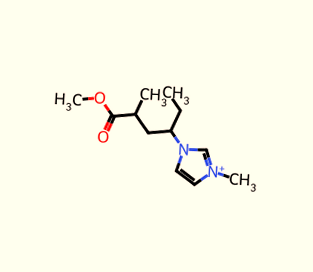 CCC(CC(C)C(=O)OC)n1cc[n+](C)c1